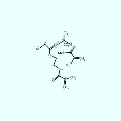 C=C(C)C(=O)OC.C=C(C)C(=O)OCCOC(=O)CC(C)=O.C=C(CCCC)C(=O)O